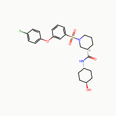 O=C(N[C@H]1CC[C@H](O)CC1)[C@H]1CCCN(S(=O)(=O)c2cccc(Oc3ccc(F)cc3)c2)C1